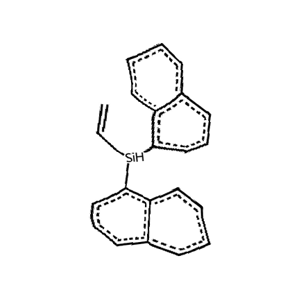 C=C[SiH](c1cccc2ccccc12)c1cccc2ccccc12